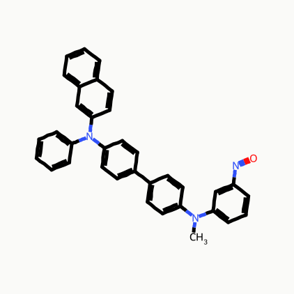 CN(c1ccc(-c2ccc(N(c3ccccc3)c3ccc4ccccc4c3)cc2)cc1)c1cccc(N=O)c1